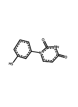 O=c1ccn(-c2cccc(S)c2)c(=O)[nH]1